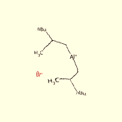 CCCCC(C)[CH2][Al+][CH2]C(C)CCCC.[Br-]